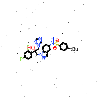 C[C@@H](n1ncc2cc(NS(=O)(=O)c3ccc(C(C)(C)C)cc3)ccc21)[C@](O)(Cn1cncn1)c1ccc(F)cc1F